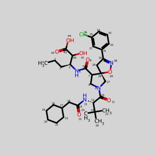 CCC[C@H](NC(=O)C1CN(C(=O)[C@@H](NC(=O)CC2CCCCC2)C(C)(C)C)C[C@]12CC(c1cccc(Cl)c1)=NO2)C(O)C(=O)O